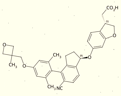 Cc1cc(OCC2(C)COC2)cc(C)c1-c1c(C#N)ccc2c1CC[C@H]2Oc1ccc2c(c1)OC[C@H]2CC(=O)O